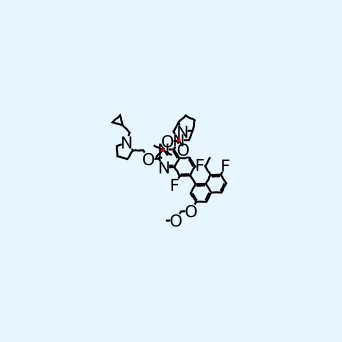 CCc1c(F)ccc2cc(OCOC)cc(-c3c(F)cc4c(N5CC6CCC(C5)N6C(=O)OC(C)(C)C)nc(OCC5CCCN5CC5CC5)nc4c3F)c12